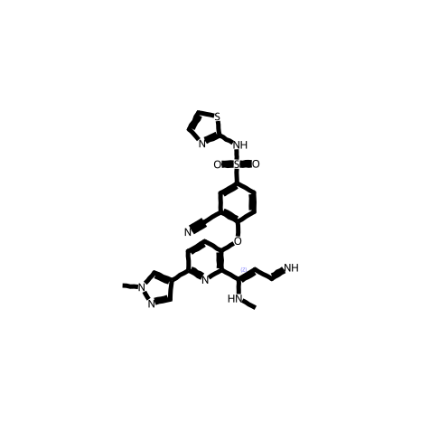 CN/C(=C\C=N)c1nc(-c2cnn(C)c2)ccc1Oc1ccc(S(=O)(=O)Nc2nccs2)cc1C#N